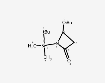 CC(C)COC1CC(=O)N1[Si](C)(C)C(C)(C)C